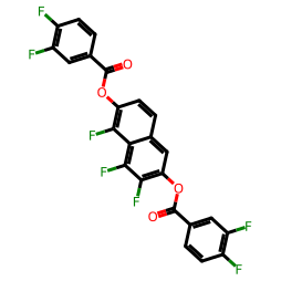 O=C(Oc1cc2ccc(OC(=O)c3ccc(F)c(F)c3)c(F)c2c(F)c1F)c1ccc(F)c(F)c1